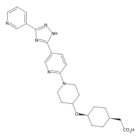 O=C(O)C[C@H]1CC[C@@H](OC2CCN(c3ccc(-c4nc(-c5cccnc5)n[nH]4)cn3)CC2)CC1